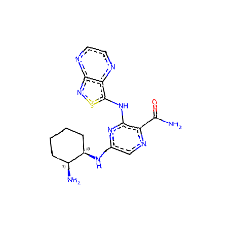 NC(=O)c1ncc(N[C@@H]2CCCC[C@@H]2N)nc1Nc1snc2nccnc12